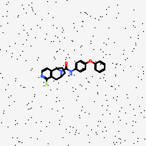 O=C(Nc1ccc(Oc2ccccc2)cc1)N1C2CCC1c1ccnc(F)c1C2